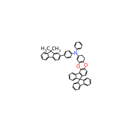 CC1(C)c2ccccc2-c2ccc(-c3ccc(N(C4=CC5=C(CC4)Oc4ccc6c(c4O5)-c4ccccc4C64c5ccccc5-c5ccccc54)c4ccccc4)cc3)cc21